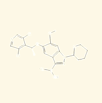 COc1cc2c(cc1O[C@H](C)c1c(Cl)cncc1Cl)c(B(O)O)nn2C1CCCCO1